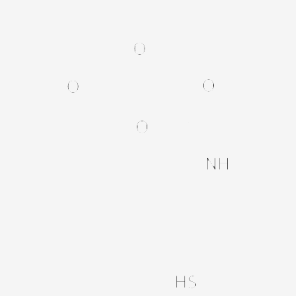 CC(OC=O)OC(=O)NCCS